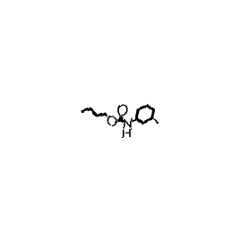 CCCCOC(=O)N[C@H]1CCC[C@@H](C)C1